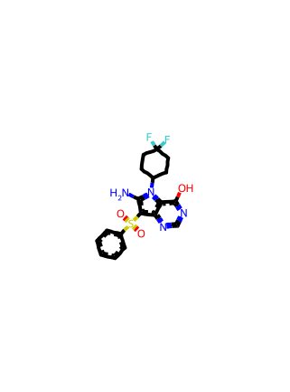 Nc1c(S(=O)(=O)c2ccccc2)c2ncnc(O)c2n1C1CCC(F)(F)CC1